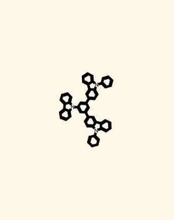 C1=CC(n2c3ccccc3c3cc(-c4cc(-c5ccc6c(c5)c5ccccc5n6-c5ccccc5)cc(-n5c6ccccc6c6ccccc65)c4)ccc32)=CCC1